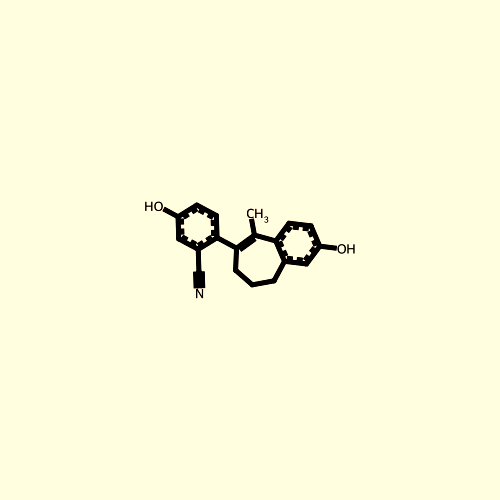 CC1=C(c2ccc(O)cc2C#N)CCCc2cc(O)ccc21